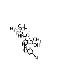 C[C@@H](CO)Nc1cc(-n2ccc3cc(C#N)cnc32)ncc1C(=O)NCC(F)C(C)(C)O